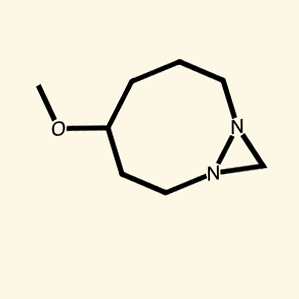 COC1CCCN2CN2CC1